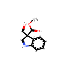 COC(=O)C1(C=O)C=Nc2ccccc21